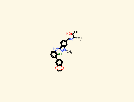 C[C@@H](O)[C@H](N=Cc1ccc2c(Nc3cccc(-c4ccc5c(c4)OCCO5)c3Cl)nn(C)c2c1)C(=O)O